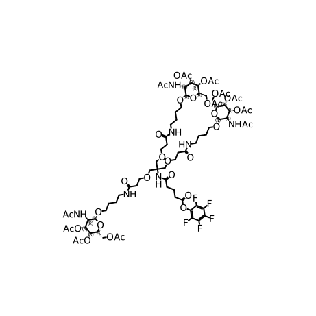 CC(=O)N[C@H]1[C@H](OCCCCNC(=O)CCOCC(COCCC(=O)NCCCCO[C@@H]2O[C@H](COC(C)=O)[C@H](OC(C)=O)[C@H](OC(C)=O)[C@H]2NC(C)=O)(COCCC(=O)NCCCCO[C@@H]2O[C@H](COC(C)=O)[C@H](OC(C)=O)[C@H](OC(C)=O)[C@H]2NC(C)=O)NC(=O)CCCC(=O)Oc2c(F)c(F)c(F)c(F)c2F)O[C@H](COC(C)=O)[C@H](OC(C)=O)[C@@H]1OC(C)=O